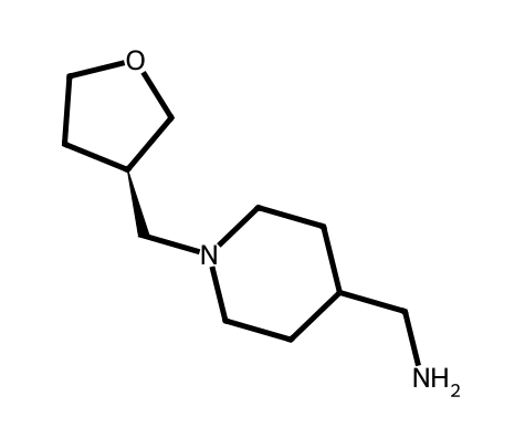 NCC1CCN(C[C@H]2CCOC2)CC1